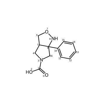 O=C(O)N1CC2CONC2(c2ccccc2)C1